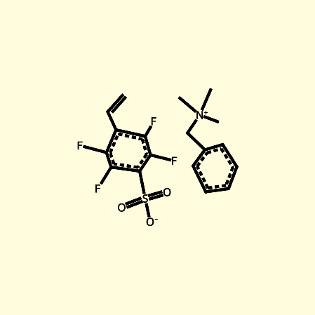 C=Cc1c(F)c(F)c(S(=O)(=O)[O-])c(F)c1F.C[N+](C)(C)Cc1ccccc1